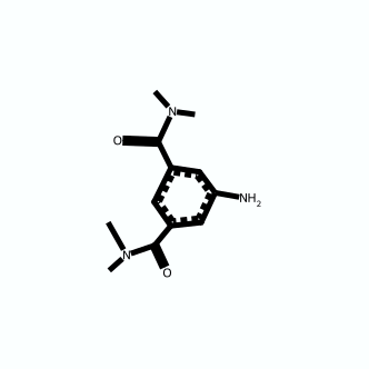 CN(C)C(=O)c1cc(N)cc(C(=O)N(C)C)c1